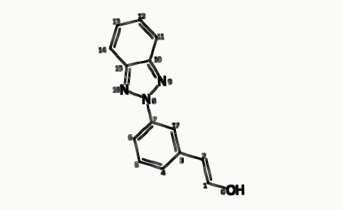 OC=Cc1cccc(-n2nc3ccccc3n2)c1